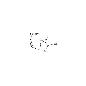 CCN(CC)C(=O)c1cccnn1